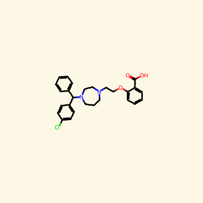 O=C(O)c1ccccc1OCCN1CCCN(C(c2ccccc2)c2ccc(Cl)cc2)CC1